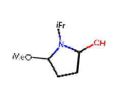 COC1CCC(O)N1C(C)C